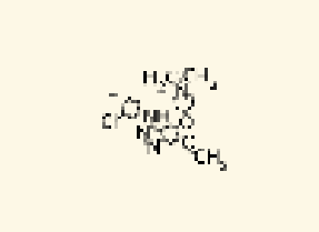 C=C(C)N1CCC(Oc2cc3c(Nc4ccc(F)c(Cl)c4)ncnc3cc2OCC)CC1